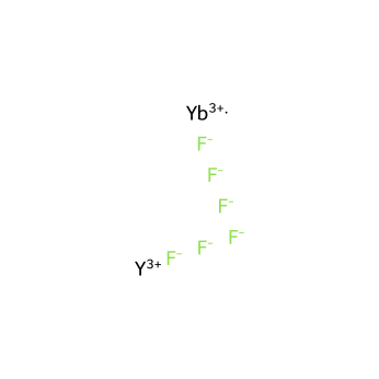 [F-].[F-].[F-].[F-].[F-].[F-].[Y+3].[Yb+3]